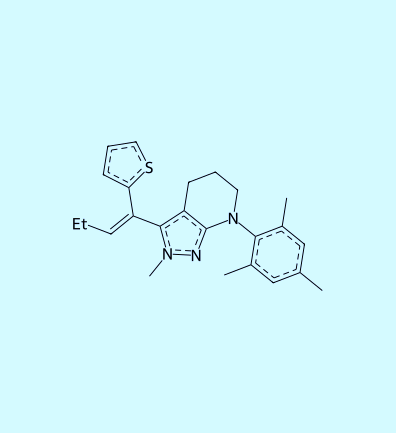 CC/C=C(\c1cccs1)c1c2c(nn1C)N(c1c(C)cc(C)cc1C)CCC2